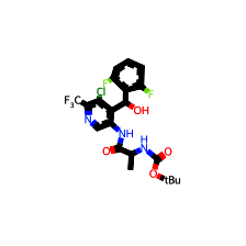 CC(NC(=O)OC(C)(C)C)C(=O)Nc1cnc(C(F)(F)F)c(Cl)c1C(O)c1c(F)cccc1F